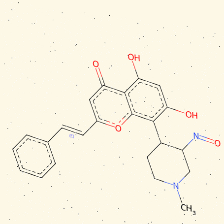 CN1CCC(c2c(O)cc(O)c3c(=O)cc(/C=C/c4ccccc4)oc23)C(N=O)C1